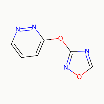 c1cnnc(Oc2ncon2)c1